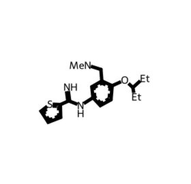 CCC(CC)Oc1ccc(NC(=N)c2cccs2)cc1CNC